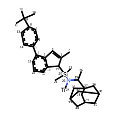 CC1=Cc2c(-c3ccc(C(C)(C)C)cc3)cccc2C1[Si](C)(C)[N]([Ti])C(C)C12CC3CC(CC(C3)C1)C2